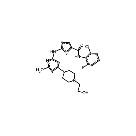 Cc1nc(Nc2ncc(C(=O)Nc3c(F)cccc3Cl)s2)cc(N2CCN(CCO)CC2)n1